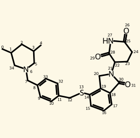 CC1CC(C)CN(Cc2ccc(CSc3cccc4c3CN(C3CCC(=O)NC3=O)C4=O)cc2)C1